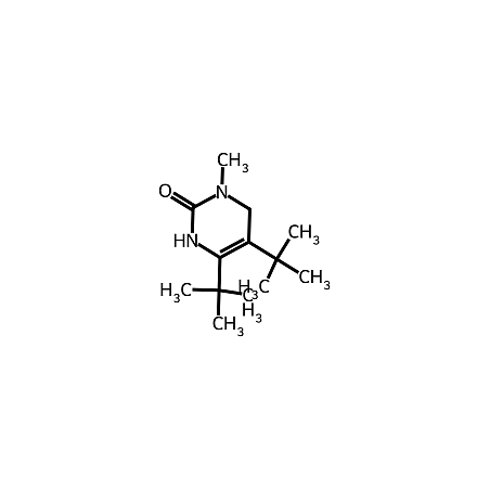 CN1CC(C(C)(C)C)=C(C(C)(C)C)NC1=O